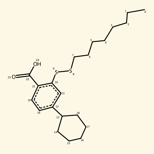 CCCCCCCCSSc1cc(C2CCCCC2)ccc1C(=O)O